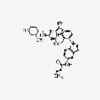 C/C=C/C(=O)Nc1ccc2c(ccn2-c2ccccc2CNc2nc(NC[C@H]3CCNC[C@@H]3O)nc3c(C(C)C)cnn23)c1